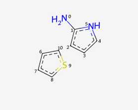 Nc1ccc[nH]1.c1ccsc1